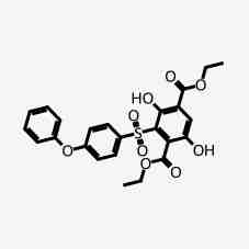 CCOC(=O)c1cc(O)c(C(=O)OCC)c(S(=O)(=O)c2ccc(Oc3ccccc3)cc2)c1O